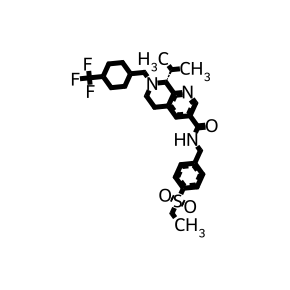 CCS(=O)(=O)c1ccc(CNC(=O)c2cnc3c(c2)CCN(CC2CCC(C(F)(F)F)CC2)[C@@H]3C(C)C)cc1